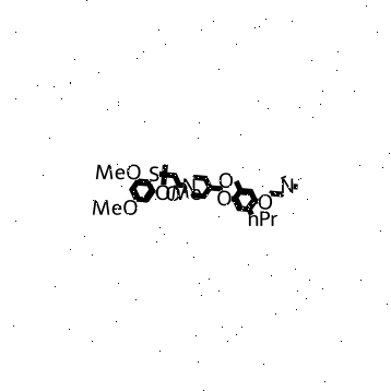 CCCc1cc(OC(=O)C2CCN(C(=O)CC(C)(C)Sc3c(OC)cc(OC)cc3OC)CC2)c(C)cc1OCCN(C)C